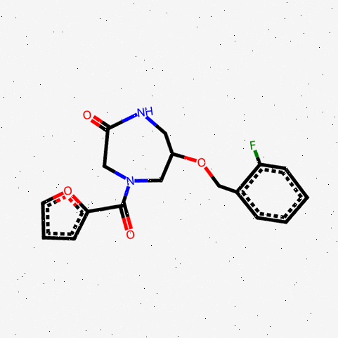 O=C1CN(C(=O)c2ccco2)CC(OCc2ccccc2F)CN1